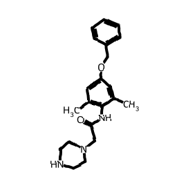 Cc1cc(OCc2ccccc2)cc(C)c1NC(=O)CN1CCNCC1